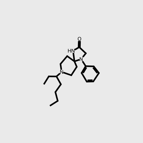 CCCCC(CC)N1CCC2(CC1)NC(=O)CN2c1ccccc1